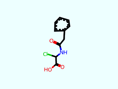 O=C(Cc1ccccc1)NC(Cl)C(=O)O